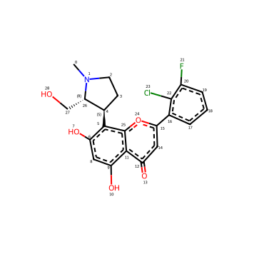 CN1CC[C@@H](c2c(O)cc(O)c3c(=O)cc(-c4cccc(F)c4Cl)oc23)[C@@H]1CO